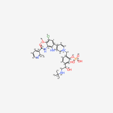 COc1c(Cl)cc2c([nH]c3c[n+](Cc4ccc(C(O)CNC(C)(C)C)cc4OP(=O)(O)O)ccc32)c1NC(=O)c1cccnc1C